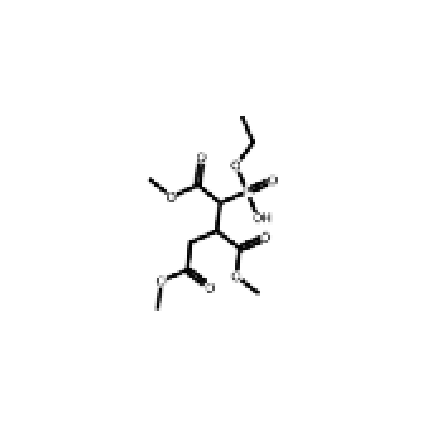 CCOP(=O)(O)C(C(=O)OC)C(CC(=O)OC)C(=O)OC